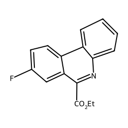 CCOC(=O)c1nc2ccccc2c2ccc(F)cc12